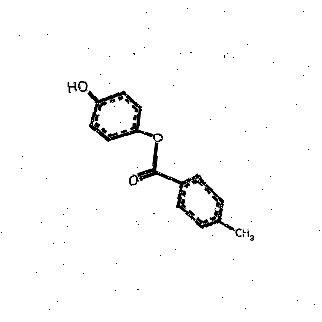 Cc1ccc(C(=O)Oc2ccc(O)cc2)cc1